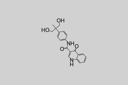 CC(CO)(CO)c1ccc(NC(=O)c2c[nH]c3ccccc3c2=O)cc1